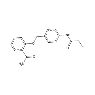 NC(=O)c1ccccc1OCc1ccc(NC(=O)CCl)cc1